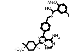 COc1ccc(F)cc1C(O)NCc1ccc(-c2nc([C@]3(C)CC[C@](C)(C(=O)O)CC3)n3ncnc(N)c23)cc1